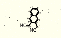 N#CCc1cc2ccccc2cc1CC#N